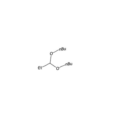 C[CH]C(OCCCC)OCCCC